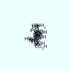 CC(C)C(N)C(=O)NC(CCCNC(=N)N)C(=O)NC(CO)C(=O)NC(CO)C(=O)NC(CO)C(=O)NC(CCCNC(=N)N)C(=O)NC(C(=O)N1CCCC1C(=O)O)C(C)O